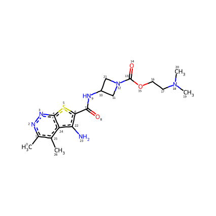 Cc1nnc2sc(C(=O)NC3CN(C(=O)OCCN(C)C)C3)c(N)c2c1C